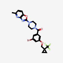 Cc1ccc2oc(N3CCN(C(=O)c4cc(Br)cc(OCC5(C(F)(F)F)CC5)c4)CC3)nc2n1